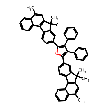 Cc1cc2c(c3ccccc13)-c1ccc(-c3oc(-c4ccc5c(c4)C(C)(C)c4cc(C)c6ccccc6c4-5)c(-c4ccccc4)c3-c3ccccc3)cc1C2(C)C